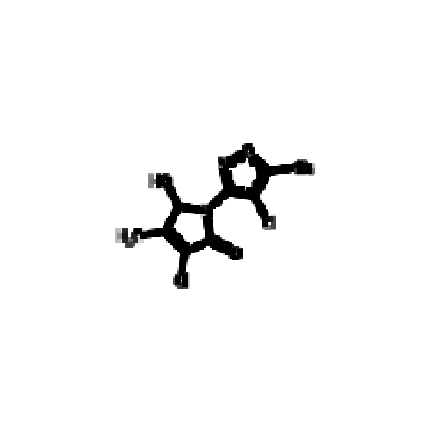 CC1=C(Cl)C(=O)N(c2noc(C(C)(C)C)c2Cl)C1O